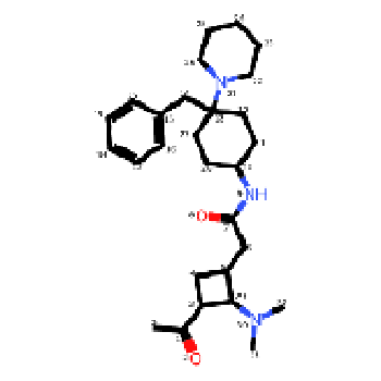 CC(=O)C1CC(CC(=O)NC2CCC(Cc3ccccc3)(N3CCCCC3)CC2)C1N(C)C